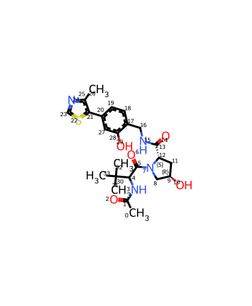 CC(=O)NC(C(=O)N1C[C@H](O)C[C@H]1C(=O)NCc1ccc(-c2scnc2C)cc1O)C(C)(C)C